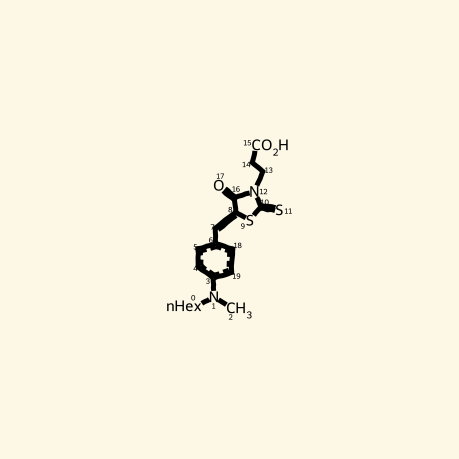 CCCCCCN(C)c1ccc(/C=C2\SC(=S)N(CCC(=O)O)C2=O)cc1